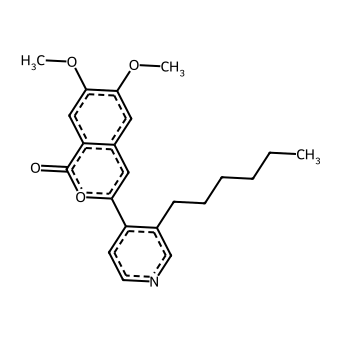 CCCCCCc1cnccc1-c1cc2cc(OC)c(OC)cc2c(=O)o1